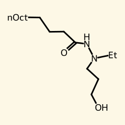 CCCCCCCCCCCC(=O)NN(CC)CCCO